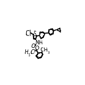 Cc1ccccc1[C@@H](C)OC(=O)Nc1cc(Cl)sc1-c1ccc(-c2ccc(C3CC3)cc2)cc1